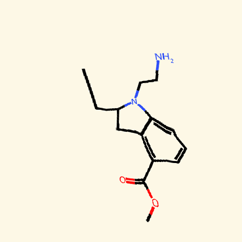 CCC1Cc2c(C(=O)OC)cccc2N1CCN